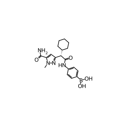 Cn1nc([C@@H](C(=O)Nc2ccc(B(O)O)cc2)C2CCCCC2)cc1C(N)=O